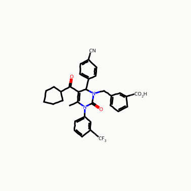 CC1=C(C(=O)C2CCCCC2)C(c2ccc(C#N)cc2)N(Cc2cccc(C(=O)O)c2)C(=O)N1c1cccc(C(F)(F)F)c1